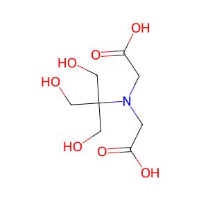 O=C(O)CN(CC(=O)O)C(CO)(CO)CO